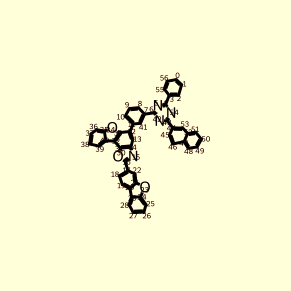 c1ccc(-c2nc(-c3cccc(-c4cc5nc(-c6ccc7c(c6)oc6ccccc67)oc5c5c4oc4ccccc45)c3)nc(-c3ccc4ccccc4c3)n2)cc1